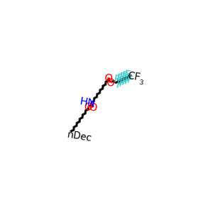 CCCCCCCCCCCCCCCCCCCCCCOC(=O)NCCCCCCCCCCC(=O)OCCC(F)(F)C(F)(F)C(F)(F)C(F)(F)C(F)(F)C(F)(F)F